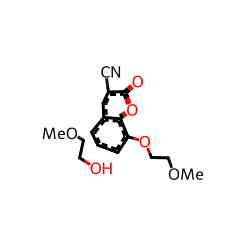 COCCO.COCCOc1cccc2cc(C#N)c(=O)oc12